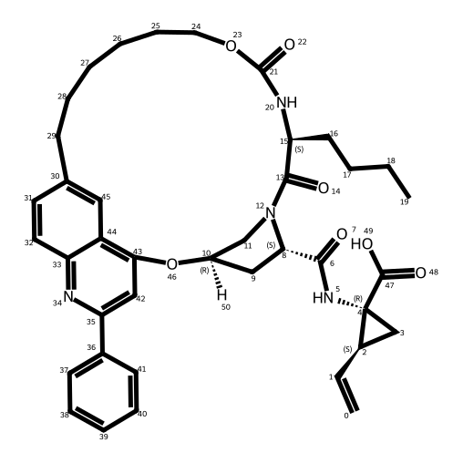 C=C[C@@H]1C[C@]1(NC(=O)[C@@H]1C[C@@H]2CN1C(=O)[C@H](CCCC)NC(=O)OCCCCCCc1ccc3nc(-c4ccccc4)cc(c3c1)O2)C(=O)O